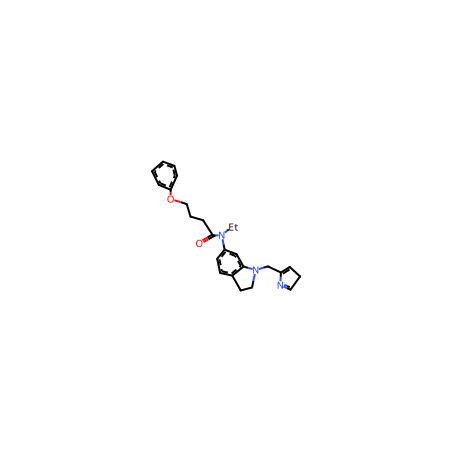 CCN(C(=O)CCCOc1ccccc1)c1ccc2c(c1)N(CC1=CCC=N1)CC2